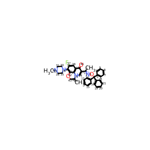 C/C(=N\OC(c1ccccc1)(c1ccccc1)c1ccccc1)c1cn2c3c(c(N4CCN(C)CC4)c(F)cc3c1=O)OC[C@@H]2C